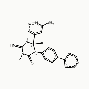 Bc1cc([C@@]2(C)NC(=N)N(C)C(=O)[C@@H]2c2ccc(-c3ccccc3)cc2)ccn1